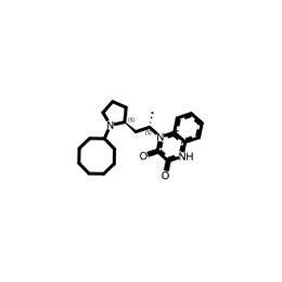 C[C@@H](C[C@@H]1CCCN1C1CCCCCCC1)n1c(=O)c(=O)[nH]c2ccccc21